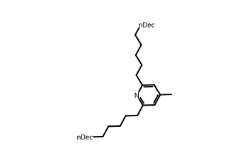 [CH2]c1cc(CCCCCCCCCCCCCCC)nc(CCCCCCCCCCCCCCC)c1